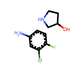 Nc1ccc(F)c(Cl)c1.OC1CCNC1